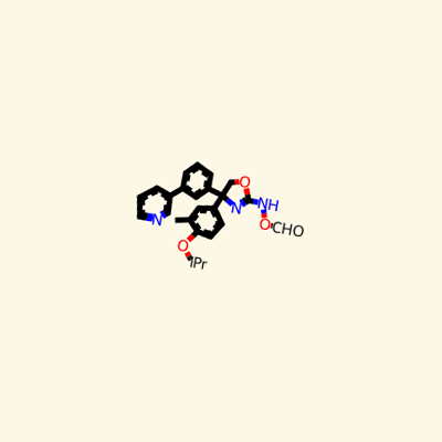 Cc1cc(C2(c3cccc(-c4cccnc4)c3)COC(NOC=O)=N2)ccc1OC(C)C